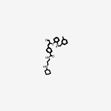 Cc1cccc(CN(C)c2ccccc2S/C(C=O)=C\c2ccc(C(=O)NCCCNC3CCCCC3)cc2)c1